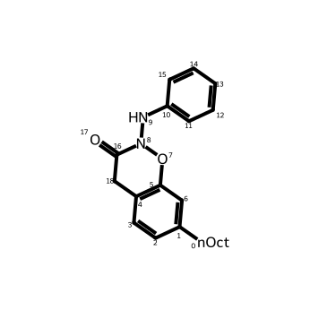 CCCCCCCCc1ccc2c(c1)ON(Nc1ccccc1)C(=O)C2